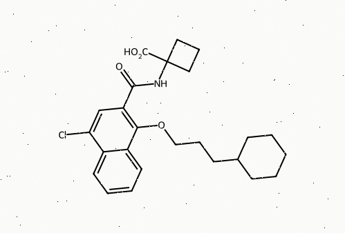 O=C(NC1(C(=O)O)CCC1)c1cc(Cl)c2ccccc2c1OCCCC1CCCCC1